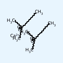 CCCCCCCCCCCCCCCCC(CCCCCCCC)(CCCCCCCC)C(=O)[O-].CCCCCCCCCCCCCCCCC(CCCCCCCC)(CCCCCCCC)C(=O)[O-].[Ca+2]